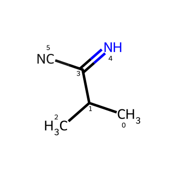 CC(C)C(=N)C#N